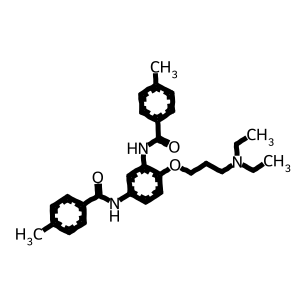 CCN(CC)CCCOc1ccc(NC(=O)c2ccc(C)cc2)cc1NC(=O)c1ccc(C)cc1